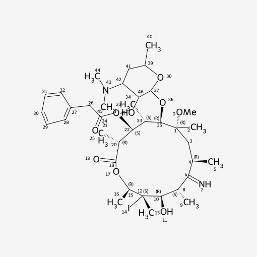 CO[C@]1(C)C[C@@H](C)C(=N)[C@H](C)[C@@H](O)[C@](C)(I)[C@@H](C)OC(=O)[C@H](C)[C@@H](OC(=O)Cc2ccccc2)[C@H](C)[C@H]1OC1OC(C)CC(N(C)C)C1O